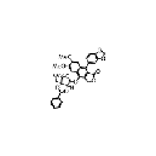 COc1cc2c(O[C@@H]3OC[C@@]4(COC(C)=O)OC(c5ccccc5)O[C@@H]34)c3c(c(-c4ccc5c(c4)OCO5)c2cc1OC)C(=O)OC3